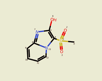 CS(=O)(=O)c1c(O)nc2ccccn12